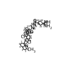 Cc1ccc2cccc(OCc3c(Cl)ccc(S(=O)(=O)N4CCC[C@H]4C(=O)N4CCN(C(=O)c5ccc(C(=N)N)cc5)CC4)c3Cl)c2n1